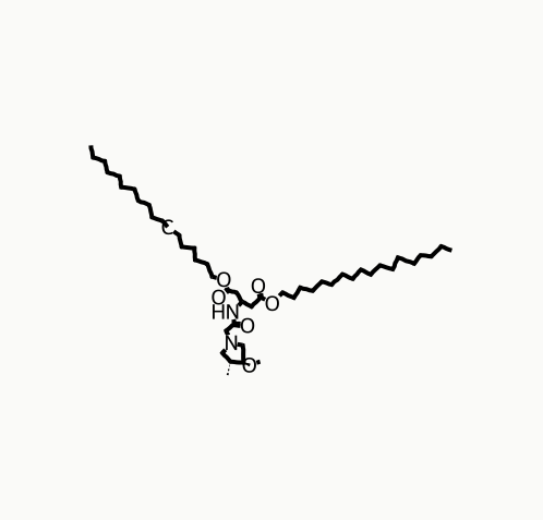 CCCCCCCCCCCCCCCCCCOC(=O)CC(CC(=O)OCCCCCCCCCCCCCCCCCC)NC(=O)CN1C[C@@H](C)[C@H](OC)C1